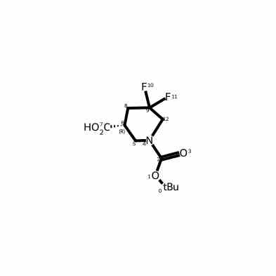 CC(C)(C)OC(=O)N1C[C@H](C(=O)O)CC(F)(F)C1